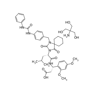 COc1ccc([C@H](CC(=O)O)NC(=O)[C@H](CC(C)C)N2C(=O)N(Cc3ccc(NC(=O)Nc4ccccc4)cc3)C3(CCCCC3)C2=O)c(OC)c1.NC(CO)(CO)CO